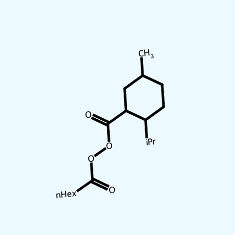 CCCCCCC(=O)OOC(=O)C1CC(C)CCC1C(C)C